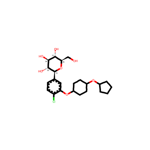 OC[C@H]1O[C@@H](c2ccc(Cl)c(OC3CCC(OC4CCCC4)CC3)c2)[C@H](O)[C@@H](O)[C@@H]1O